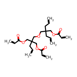 C=CCC(CC=C)(COCC(CC=C)(COC(=O)C=C)COC(=O)C=C)COC(=O)C=C